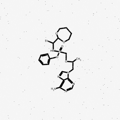 CCC(NP(=O)(COC(C)Cn1cnc2c(N)ncnc21)Oc1ccccc1)C1OCCCCO1